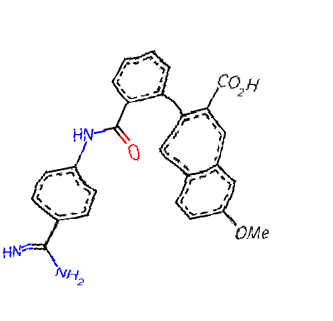 COc1ccc2cc(-c3ccccc3C(=O)Nc3ccc(C(=N)N)cc3)c(C(=O)O)cc2c1